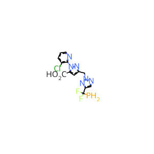 O=C(O)c1cc(Cn2ncc(C(F)(F)P)n2)nn1-c1ncccc1Cl